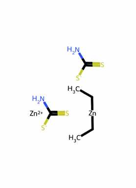 C[CH2][Zn][CH2]C.NC(=S)[S-].NC(=S)[S-].[Zn+2]